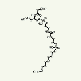 CCCOC[C@H](COP(=O)(O)OCCNC(=O)NCCOP(=O)(O)OCCCOCCCOC=O)NC(=O)CC=O